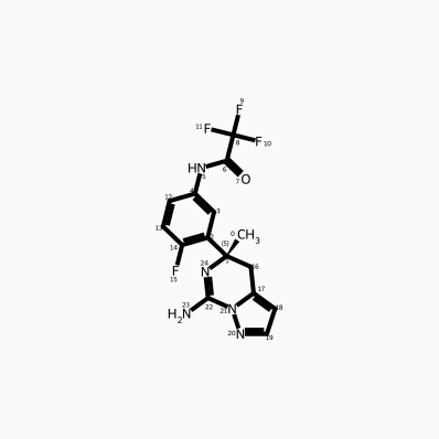 C[C@@]1(c2cc(NC(=O)C(F)(F)F)ccc2F)Cc2ccnn2C(N)=N1